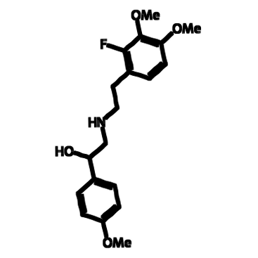 COc1ccc(C(O)CNCCc2ccc(OC)c(OC)c2F)cc1